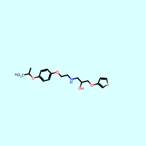 CC(Oc1ccc(OCCNCC(O)COc2ccsc2)cc1)C(=O)O